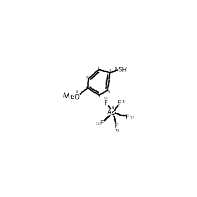 COc1ccc(S)cc1.F[As](F)(F)(F)F